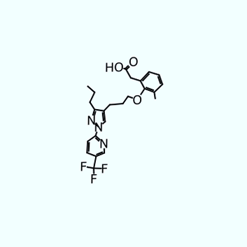 CCCc1nn(-c2ccc(C(F)(F)F)cn2)cc1CCCOc1c(C)cccc1CC(=O)O